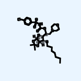 CCCCCCCO[C@@H]1[C@H]2OC(C)(C)O[C@H]2O[C@@H]1[C@@H](CN1CCOCC1)OC(=O)NS(=O)(=O)c1ccc(Cl)cc1